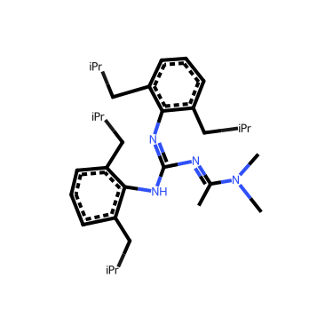 C/C(=N\C(=N/c1c(CC(C)C)cccc1CC(C)C)Nc1c(CC(C)C)cccc1CC(C)C)N(C)C